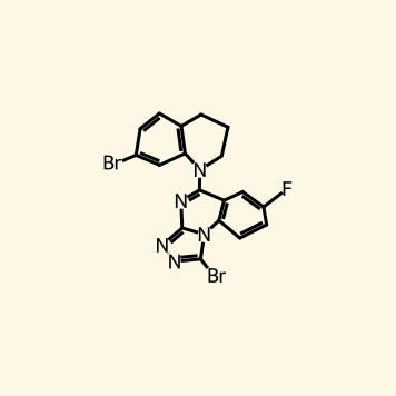 Fc1ccc2c(c1)c(N1CCCc3ccc(Br)cc31)nc1nnc(Br)n12